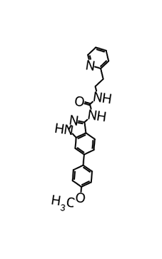 COc1ccc(-c2ccc3c(NC(=O)NCCc4ccccn4)n[nH]c3c2)cc1